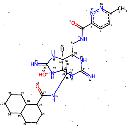 Cc1ccc(C(=O)NC[C@@H]2NC(=N)N3CC(NC(=O)C4CCCC5CCCCC54)[C@@H](O)C34NC(=N)N[C@@H]24)nn1